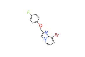 Fc1ccc(OCc2cn3cccc(Br)c3n2)cc1